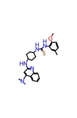 COc1ccc(C)cc1NC(=S)NC1CCC(Nc2cc(N(C)C)c3ccccc3n2)CC1